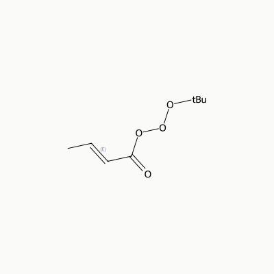 C/C=C/C(=O)OOOC(C)(C)C